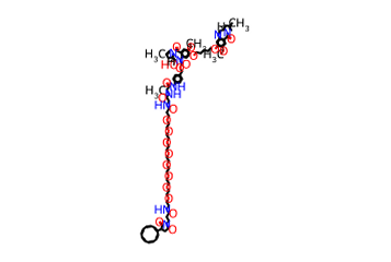 COc1cc2c(cc1OCCCCCOc1cc3c(cc1OC)C(=O)N1C=C(C)C[C@H]1[C@H](O)N3C(=O)OCc1ccc(NC(=O)C(C)NC(=O)CNC(=O)CCOCCOCCOCCOCCOCCOCCOCCOCCNC(=O)CCN3C(=O)CC(C4=C/C=C\C=C/C=C\C=C/C=C\4)C3=O)cc1)N=C[C@@H]1CC(C)=CN1C2=O